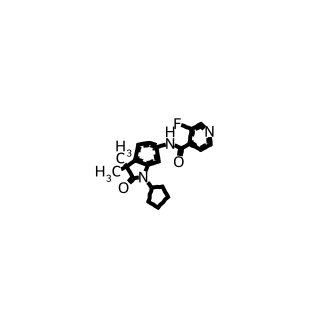 CC1(C)C(=O)N(C2CCCC2)c2cc(NC(=O)c3ccncc3F)ccc21